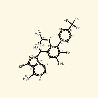 Cc1cc([C@H](C)c2nc(Cl)c3c(N)nccn23)c(OC(C)C)c(-c2ccc(C(F)(F)F)nc2)c1F